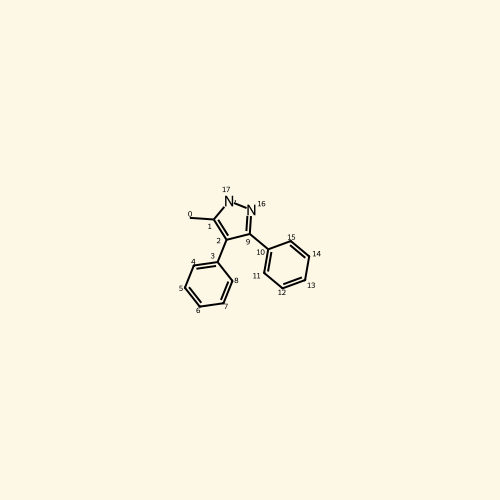 CC1=C(c2ccccc2)C(c2ccccc2)=N[N]1